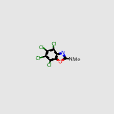 CNc1nc2c(Cl)c(Cl)c(Cl)c(Cl)c2o1